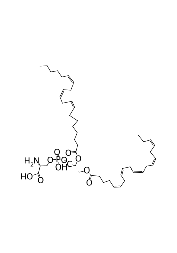 CC/C=C\C/C=C\C/C=C\C/C=C\C/C=C\CCCC(=O)OC[C@H](COP(=O)(O)OC[C@H](N)C(=O)O)OC(=O)CCCCCC/C=C\C/C=C\C/C=C\CCCCC